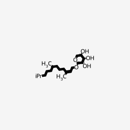 CC(=CCO[C@H]1OC[C@@H](O)[C@H](O)[C@H]1O)CCCC(C)CCCC(C)C